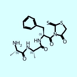 C[C@H](N)C(=O)N[C@@H](C)C(=O)N[C@@H](Cc1ccccc1)C(=O)N1C(=O)CSC1=S